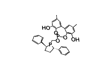 Cc1cc(O)c2op(OCP3[C@H](c4ccccc4)CC[C@H]3c3ccccc3)oc3c(O)cc(C)cc3c2c1